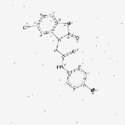 CC(C)(C)c1ccc(NC(=O)CC2C(=O)Nc3ccc(Cl)cc32)cc1